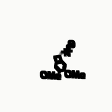 COc1cc2c(cc1OC)[C@@H](CN=C=O)C2